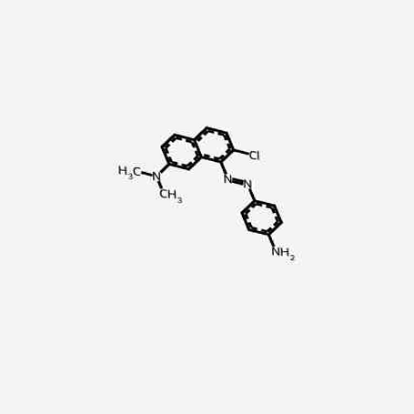 CN(C)c1ccc2ccc(Cl)c(N=Nc3ccc(N)cc3)c2c1